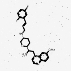 COc1ccc2nccc(CC(N)[C@@H]3CC[C@@H](NC/C=C/c4cc(F)ccc4F)CO3)c2c1